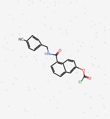 N#Cc1ccc(CNC(=O)c2cccc3cc(OC(=O)Cl)ccc23)cc1